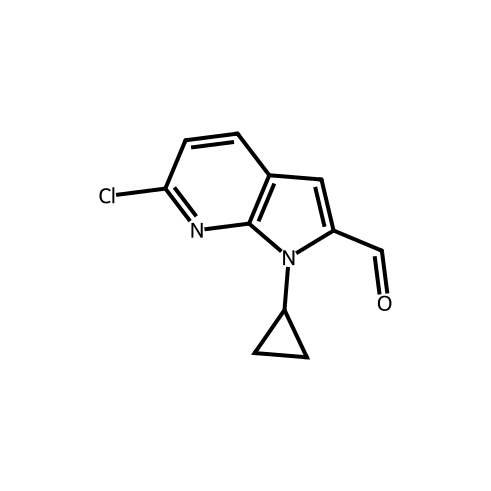 O=Cc1cc2ccc(Cl)nc2n1C1CC1